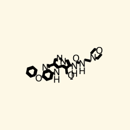 COCc1c(NC(=O)NCCN2CCOCC2)cn2ncc(C#N)c(Nc3ccc(Oc4ccccc4)cc3)c12